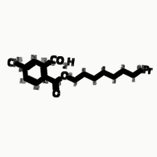 CC(C)CCCCCCCOC(=O)c1ccc(Cl)cc1C(=O)O